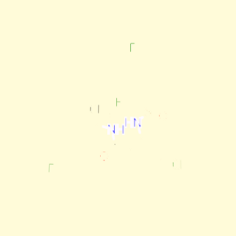 CC(NC(=O)c1ccc(Cl)cc1N[S+]([O-])c1ccc(F)cc1F)c1ccc(F)cc1